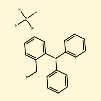 FCc1ccccc1P(c1ccccc1)c1ccccc1.F[B-](F)(F)F